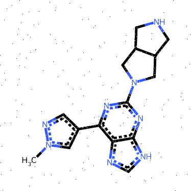 Cn1cc(-c2nc(N3CC4CNCC4C3)nc3[nH]cnc23)cn1